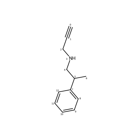 C#CCNCC(C)c1ccccc1